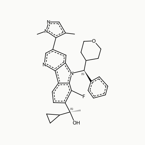 Cc1cnn(C)c1-c1cnc2c3ccc([C@@](C)(O)C4CC4)c(F)c3n([C@H](c3ccccc3)C3CCOCC3)c2c1